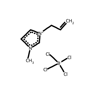 C=CC[n+]1ccn(C)c1.Cl[B-](Cl)(Cl)Cl